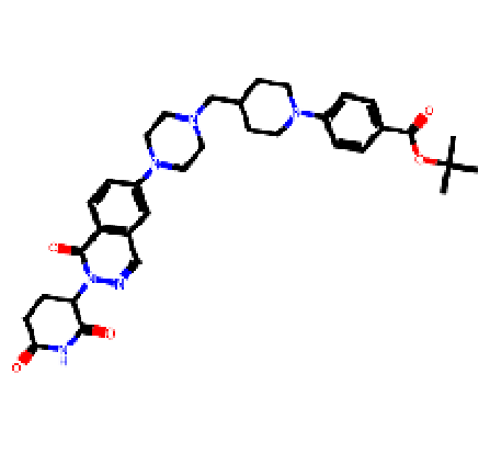 CC(C)(C)OC(=O)c1ccc(N2CCC(CN3CCN(c4ccc5c(=O)n(C6CCC(=O)NC6=O)ncc5c4)CC3)CC2)cc1